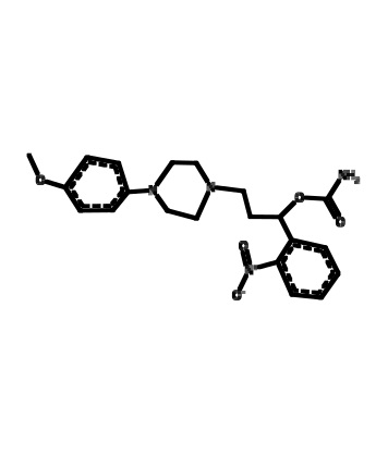 COc1ccc(N2CCN(CCC(OC(N)=O)c3ccccc3[N+](=O)[O-])CC2)cc1